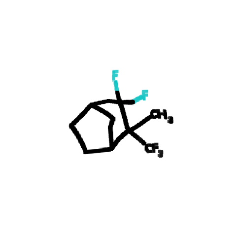 CC1(C(F)(F)F)C2CCC(C2)C1(F)F